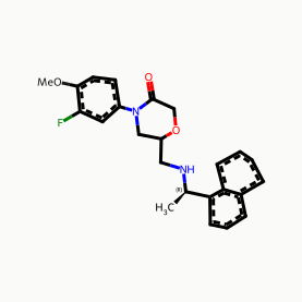 COc1ccc(N2CC(CN[C@H](C)c3cccc4ccccc34)OCC2=O)cc1F